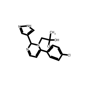 CC(C)(O)CN1C(c2ccc(Cl)cc2)=CC=NC1c1cn[nH]c1